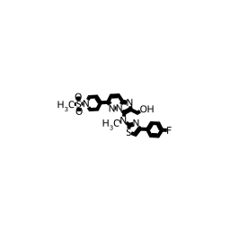 CN(c1nc(-c2ccc(F)cc2)cs1)c1c(CO)nc2ccc(C3=CCN(S(C)(=O)=O)CC3)nn12